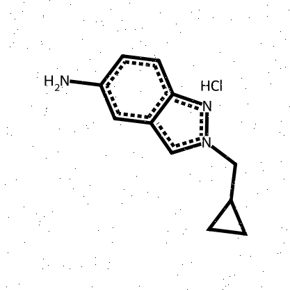 Cl.Nc1ccc2nn(CC3CC3)cc2c1